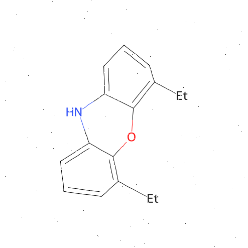 CCc1cccc2c1Oc1c(CC)cccc1N2